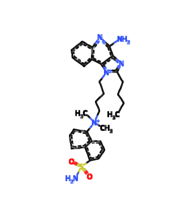 CCCCc1nc2c(N)nc3ccccc3c2n1CCCC[N+](C)(C)c1cccc2c(S(N)(=O)=O)cccc12